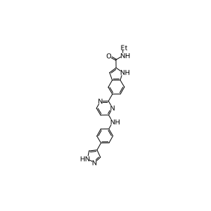 CCNC(=O)c1cc2cc(-c3nccc(Nc4ccc(-c5cn[nH]c5)cc4)n3)ccc2[nH]1